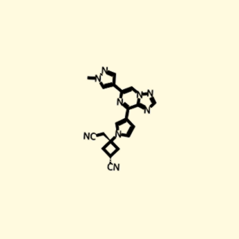 Cn1cc(-c2cn3ncnc3c(-c3ccn([C@]4(CC#N)C[C@H](C#N)C4)c3)n2)cn1